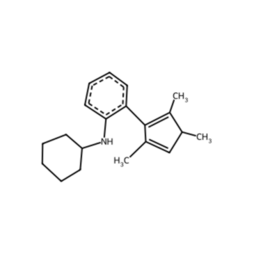 CC1=CC(C)C(C)=C1c1ccccc1NC1CCCCC1